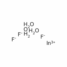 O.O.O.[F-].[F-].[F-].[In+3]